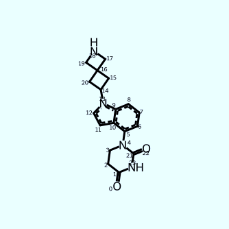 O=C1CCN(c2cccc3c2ccn3C2CC3(CNC3)C2)C(=O)N1